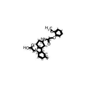 COc1ccccc1OCC(=O)NC1CCc2c(c3cc(F)ccc3n2CC(=O)O)C1